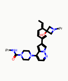 C=C(/C=C\C(=C/C)C1(O)CN(C(C)C)C1)c1cc2c(N3CCN(C(=O)NC(C)C)CC3)ccnn2c1